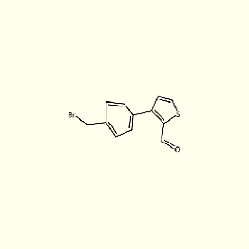 O=Cc1sccc1-c1ccc(CBr)cc1